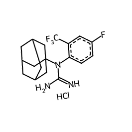 Cl.N=C(N)N(c1ccc(F)cc1C(F)(F)F)C12CC3CC(CC(C3)C1)C2